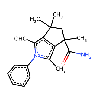 Cc1c2c(c(C=O)n1-c1ccccc1)C(C)(C)CC2(C)C(N)=O